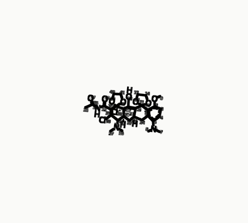 COc1ccc(N(C)C)c2c1C1(OCCO1)C1=C(O)[C@@]3(Cl)[C@@H](C[C@@H]1C2)[C@H](N(C)C)C(Cl)=C(C(=O)NC(C)=O)C31OCCO1